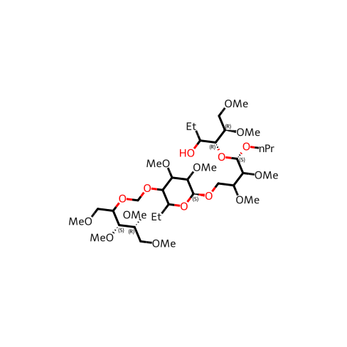 CCCO[C@@H](O[C@H](C(O)CC)[C@@H](COC)OC)C(OC)C(CO[C@H]1OC(CC)C(OCOC(COC)[C@@H](OC)[C@@H](COC)OC)C(OC)C1OC)OC